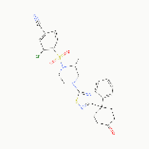 CC1CN(c2nc(C3(c4ccccc4)CCC(=O)CC3)ns2)CCN1S(=O)(=O)c1ccc(C#N)cc1Cl